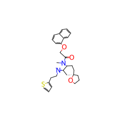 CN(CCc1cccs1)[C@@H]1C[C@@]2(CCCO2)CC[C@H]1N(C)C(=O)COc1cccc2ccccc12